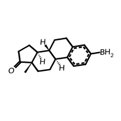 Bc1ccc2c(c1)CC[C@@H]1[C@@H]2CC[C@]2(C)C(=O)CC[C@@H]12